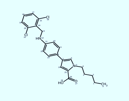 CCCCCn1cc(-c2ccc(NCc3c(Cl)cccc3Cl)cc2)cc1C(=O)O